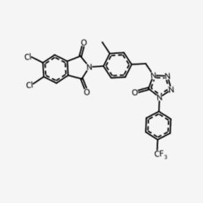 Cc1cc(Cn2nnn(-c3ccc(C(F)(F)F)cc3)c2=O)ccc1N1C(=O)c2cc(Cl)c(Cl)cc2C1=O